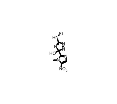 CCNC1=NC(O)(c2ncc([N+](=O)[O-])n2C)N=N1